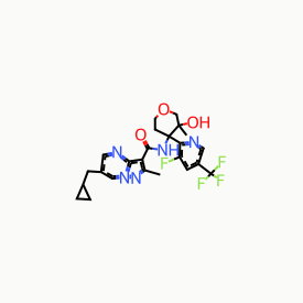 Cc1nn2cc(CC3CC3)cnc2c1C(=O)NC1(c2ncc(C(F)(F)F)cc2F)CCOCC1(C)O